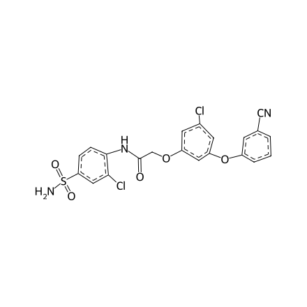 N#Cc1cccc(Oc2cc(Cl)cc(OCC(=O)Nc3ccc(S(N)(=O)=O)cc3Cl)c2)c1